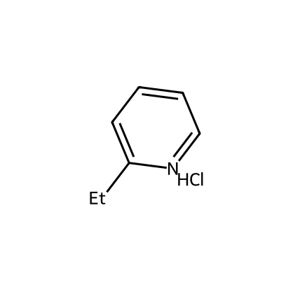 CCc1ccccn1.Cl